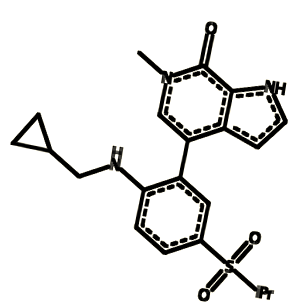 CC(C)S(=O)(=O)c1ccc(NCC2CC2)c(-c2cn(C)c(=O)c3[nH]ccc23)c1